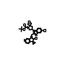 CC(C)(C)OC(=O)N1CC(n2c(CN3C(=O)C4(CC4)c4ccncc43)nc3cc(Cl)ccc32)CC12COC2